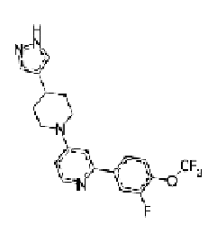 Fc1cc(-c2cc(N3CCC(c4cn[nH]c4)CC3)ccn2)ccc1OC(F)(F)F